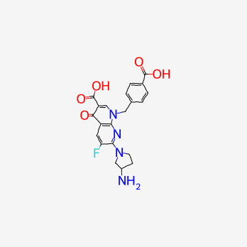 NC1CCN(c2nc3c(cc2F)c(=O)c(C(=O)O)cn3Cc2ccc(C(=O)O)cc2)C1